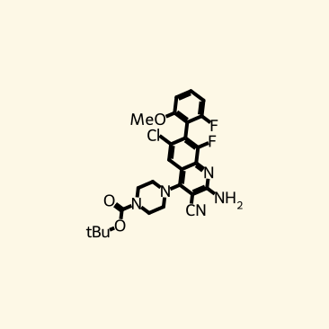 COc1cccc(F)c1-c1c(Cl)cc2c(N3CCN(C(=O)OC(C)(C)C)CC3)c(C#N)c(N)nc2c1F